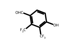 O=Cc1ccc(O)c(C(F)(F)F)c1C(F)(F)F